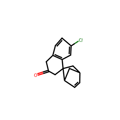 O=C1Cc2ccc(Cl)cc2C2(C1)CC1C=CC2C1